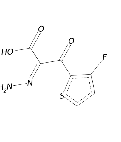 NN=C(C(=O)O)C(=O)c1sccc1F